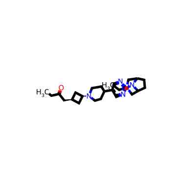 CCC(=O)C[C@H]1C[C@H](N2CCC(c3cnc(N4C5CCC4CN(CC)C5)nc3)CC2)C1